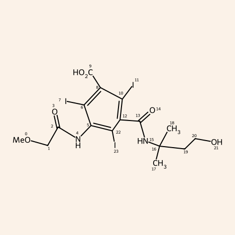 COCC(=O)Nc1c(I)c(C(=O)O)c(I)c(C(=O)NC(C)(C)CCO)c1I